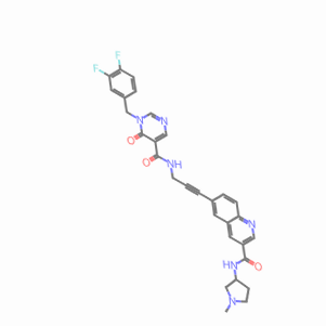 CN1CCC(NC(=O)c2cnc3ccc(C#CCNC(=O)c4cncn(Cc5ccc(F)c(F)c5)c4=O)cc3c2)C1